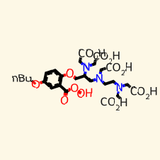 CCCCOc1ccc(OCC(CN(CCN(CC(=O)O)CC(=O)O)CC(=O)O)N(CC(=O)O)CC(=O)O)c(C(=O)OO)c1